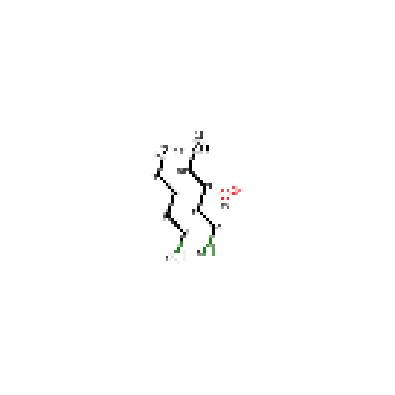 ClCCC[CH2][Zn+].ClCCC[CH2][Zn+].[O-2]